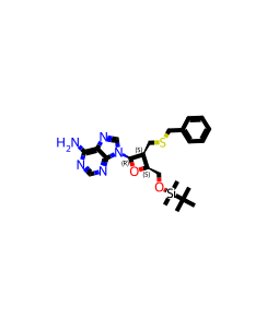 CC(C)(C)[Si](C)(C)OC[C@H]1O[C@@H](n2cnc3c(N)ncnc32)[C@H]1CSCc1ccccc1